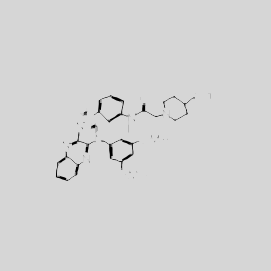 CCCC1CCN(CC(=O)Nc2cccc(S(=O)(=O)Nc3nc4ccccc4nc3Nc3cc(OC)cc(OC)c3)c2)CC1